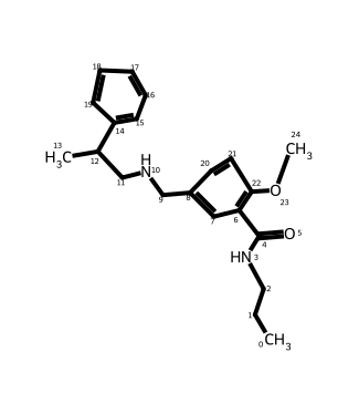 CCCNC(=O)c1cc(CNCC(C)c2ccccc2)ccc1OC